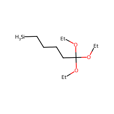 CCOC(CCCC[SiH3])(OCC)OCC